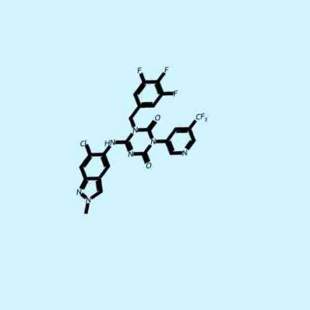 Cn1cc2cc(Nc3nc(=O)n(-c4cncc(C(F)(F)F)c4)c(=O)n3Cc3cc(F)c(F)c(F)c3)c(Cl)cc2n1